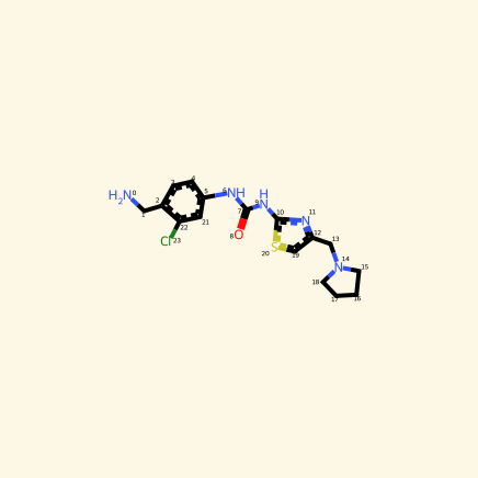 NCc1ccc(NC(=O)Nc2nc(CN3CCCC3)cs2)cc1Cl